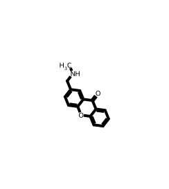 CNCc1ccc2oc3ccccc3c(=O)c2c1